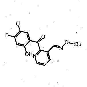 CC(C)(C)ON=Cc1cccnc1C(=O)c1cc(Cl)c(F)cc1O